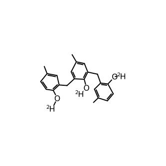 [2H]Oc1ccc(C)cc1Cc1cc(C)cc(Cc2cc(C)ccc2O[2H])c1O[2H]